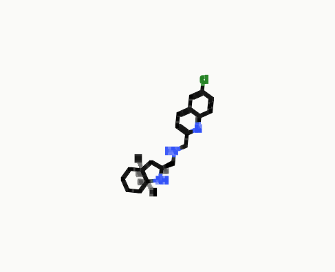 Clc1ccc2nc(CNC[C@@H]3C[C@@H]4CCCC[C@@H]4N3)ccc2c1